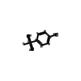 CS(=O)(=O)c1c[c]c(Cl)cc1